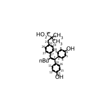 CCCCC(=C(c1ccc(O)cc1)c1ccc(O)cc1)c1ccc(CC(C)(C)C(=O)O)cc1